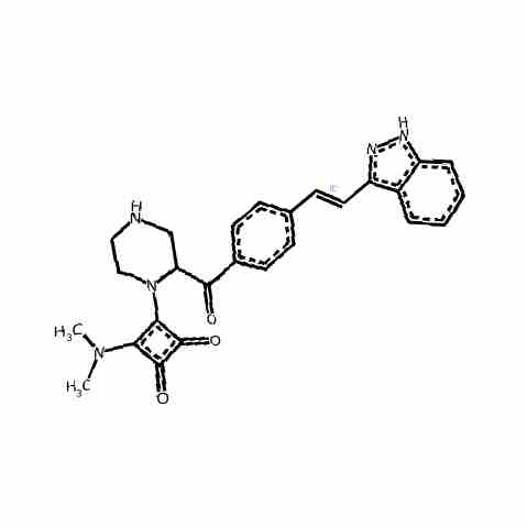 CN(C)c1c(N2CCNCC2C(=O)c2ccc(/C=C/c3n[nH]c4ccccc34)cc2)c(=O)c1=O